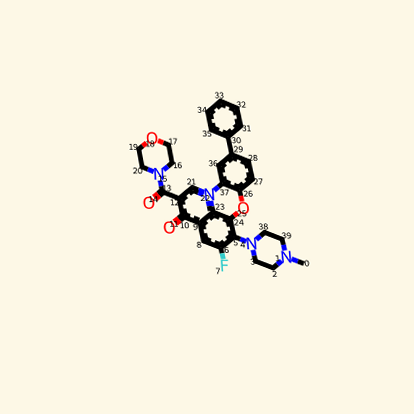 CN1CCN(c2c(F)cc3c(=O)c(C(=O)N4CCOCC4)cn4c3c2Oc2ccc(-c3ccccc3)cc2-4)CC1